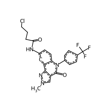 Cn1cc2c(=O)n(-c3ccc(C(F)(F)F)cc3)c3ccc(NC(=O)CCCCl)cc3c2n1